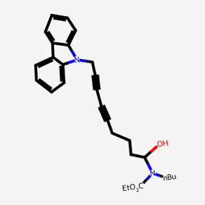 CCCCN(C(=O)OCC)C(O)CCCC#CC#CCn1c2ccccc2c2ccccc21